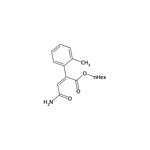 CCCCCCOC(=O)C(=CC(N)=O)c1ccccc1C